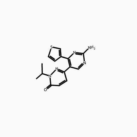 CC(C)n1nc(-c2cnc(N)nc2-c2ccsc2)ccc1=O